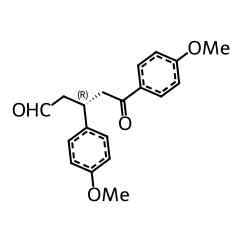 COc1ccc(C(=O)C[C@@H](CC=O)c2ccc(OC)cc2)cc1